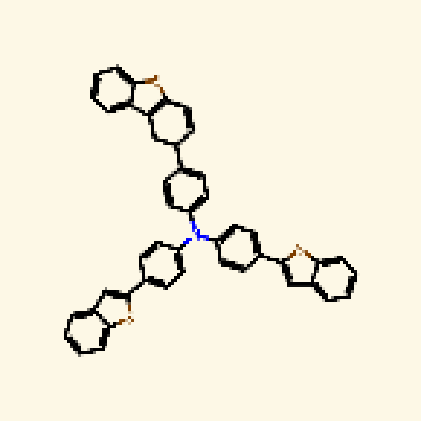 C1=CC(c2ccc(N(c3ccc(-c4cc5ccccc5s4)cc3)c3ccc(-c4cc5ccccc5s4)cc3)cc2)Cc2c1sc1ccccc21